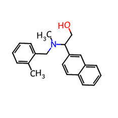 Cc1ccccc1CN(C)C(CO)c1ccc2ccccc2c1